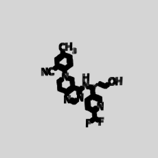 Cc1ccc(N2CCc3ncnc(N[C@H](CCO)c4ccc(C(F)F)nc4)c3C2)c(C#N)c1